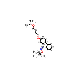 CC(C)OCCCCOc1ccc2c(c1)/C(=N/OC(C)(C)C)c1ccccc1-2